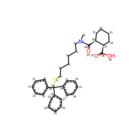 CN(CCCCCCSC(c1ccccc1)(c1ccccc1)c1ccccc1)C(=O)[C@H]1CCCC[C@H]1C(=O)O